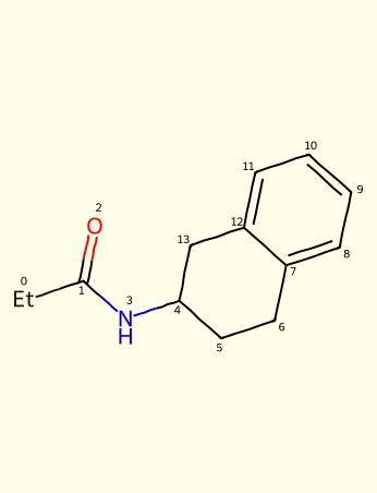 CCC(=O)NC1CCc2ccccc2C1